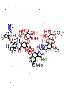 CCOc1cc2cc(C(=O)N3C[C@@H](CCl)c4c3cc(OS(=O)(=O)Oc3cc(C(=O)N(C)CC(C)(C)COCC(C)(C)CN=[N+]=[N-])ccc3O[C@@H]3O[C@H](CO)[C@@H](O)[C@H](O)[C@H]3O)c3ccc(OC)cc43)[nH]c2cc1OC1O[C@H](C(=O)O)[C@@H](O)[C@H](O)[C@H]1O